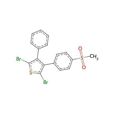 CS(=O)(=O)c1ccc(-c2c(Br)sc(Br)c2-c2ccccc2)cc1